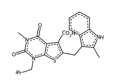 Cc1[nH]c2ccccc2c1Cc1sc2c(c1C(=O)O)c(=O)n(C)c(=O)n2CC(C)C